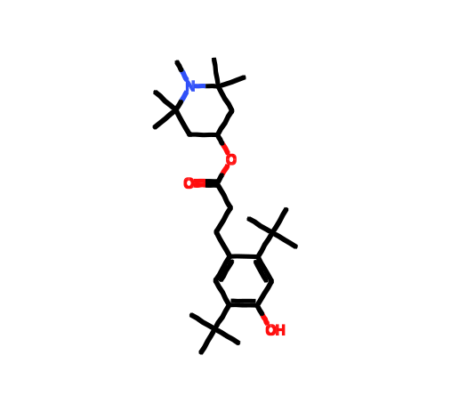 CN1C(C)(C)CC(OC(=O)CCc2cc(C(C)(C)C)c(O)cc2C(C)(C)C)CC1(C)C